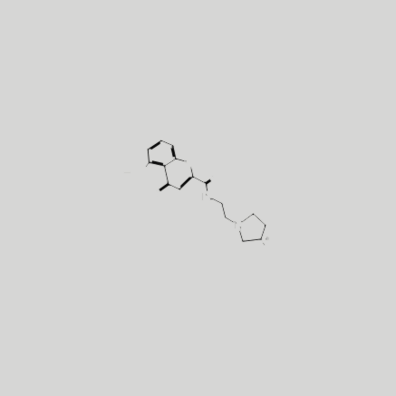 Cc1cccc2oc(C(=O)NCCN3CC[C@@H](F)C3)cc(=O)c12